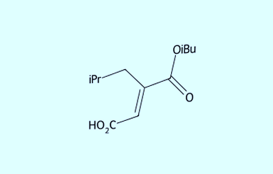 CC(C)COC(=O)C(=CC(=O)O)CC(C)C